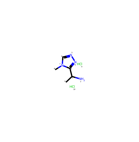 CC(N)c1nncn1C.Cl.Cl